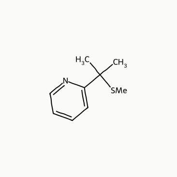 CSC(C)(C)c1ccccn1